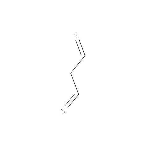 S=CCC=S